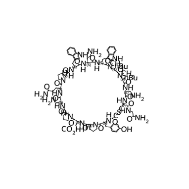 CCCC[C@H]1C(=O)N(C)[C@@H](CCCC)C(=O)N[C@@H](CN)C(=O)N[C@H](C(=O)NCC(N)=O)CSCC(=O)N[C@@H](Cc2ccc(O)cc2)C(=O)N2CCC[C@H]2C(=O)N[C@@H](CC(=O)O)C(=O)N2CCC[C@H]2C(=O)N[C@@H](CN)C(=O)N[C@@H](CCC(N)=O)C(=O)N2CCC[C@H]2C(=O)N[C@@H](Cc2c[nH]c3ccccc23)C(=O)N[C@@H](CCN)C(=O)N[C@@H](Cc2c[nH]c3ccccc23)C(=O)N1C